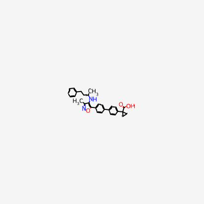 Cc1noc(-c2ccc(-c3ccc(C4(C(=O)O)CC4)cc3)cc2)c1NC(C)CCc1ccccc1